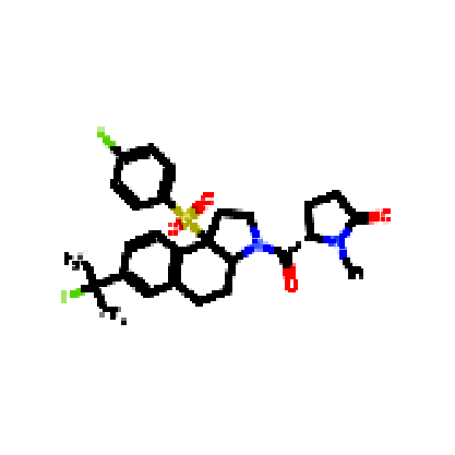 CC(C)N1C(=O)CC[C@H]1C(=O)N1CCC2(S(=O)(=O)c3ccc(F)cc3)c3ccc(C(F)(C(F)(F)F)C(F)(F)F)cc3CCC12